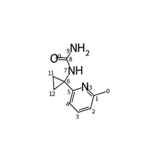 Cc1cccc(C2(NC(N)=O)CC2)n1